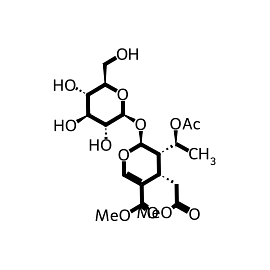 COC(=O)C[C@@H]1C(C(=O)OC)=CO[C@@H](O[C@@H]2O[C@H](CO)[C@@H](O)[C@H](O)[C@H]2O)[C@@H]1[C@H](C)OC(C)=O